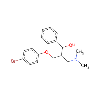 CN(C)CC(COc1ccc(Br)cc1)C(O)c1ccccc1